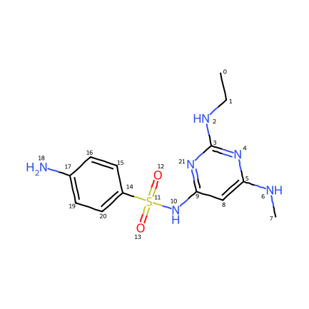 CCNc1nc(NC)cc(NS(=O)(=O)c2ccc(N)cc2)n1